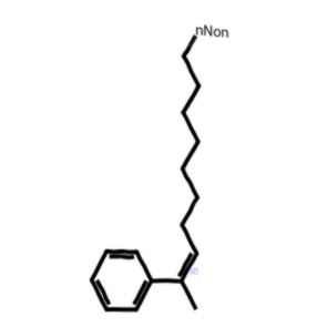 CCCCCCCCCCCCCCCC/C=C(/C)c1ccccc1